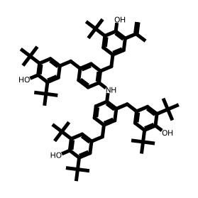 C=C(C)c1cc(Cc2cc(Cc3cc(C(C)(C)C)c(O)c(C(C)(C)C)c3)ccc2Nc2ccc(Cc3cc(C(C)(C)C)c(O)c(C(C)(C)C)c3)cc2Cc2cc(C(C)(C)C)c(O)c(C(C)(C)C)c2)cc(C(C)(C)C)c1O